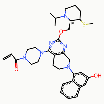 C=CC(=O)N1CCN(c2nc(OC[C@@H]3C(SC)CCCN3C(C)C)nc3c2CCN(c2cc(O)cc4ccccc24)C3)CC1